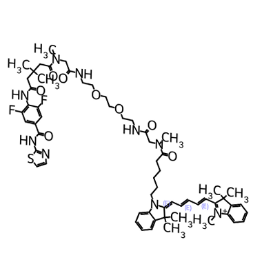 CN(CC(=O)NCCOCCOCCNC(=O)CN(C)C(=O)CC(C)(C)CC(=O)Nc1c(F)cc(C(=O)Nc2nccs2)cc1F)C(=O)CCCCCN1/C(=C/C=C/C=C/C2=[N+](C)c3ccccc3C2(C)C)C(C)(C)c2ccccc21